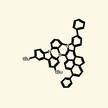 CC(C)(C)c1ccc2c(c1)c1cc(C(C)(C)C)cc3c1n2-c1cccc2c1B3c1c3ccc4c(-c5ccccc5)ccc5ccc(c3c54)c3c4ccc(-c5ccccc5)cc4n-2c13